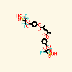 CC(=C/C=C(\C)C(=O)Oc1ccc(C(=O)OC(CS(=O)(=O)O)(C(F)(F)F)C(F)(F)F)cc1)C(=O)Oc1cccc(C(=O)OC(CS(=O)(=O)O)(C(F)(F)F)C(F)(F)F)c1